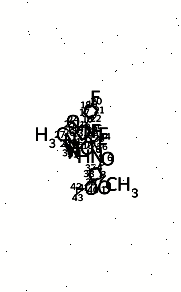 COc1cc(C(=O)NC[C@](O)(c2cc3c(c(-c4ccc(F)cc4)n2)OC[C@]3(C)n2ccnc2)C(F)(F)F)ccc1OC1CC1